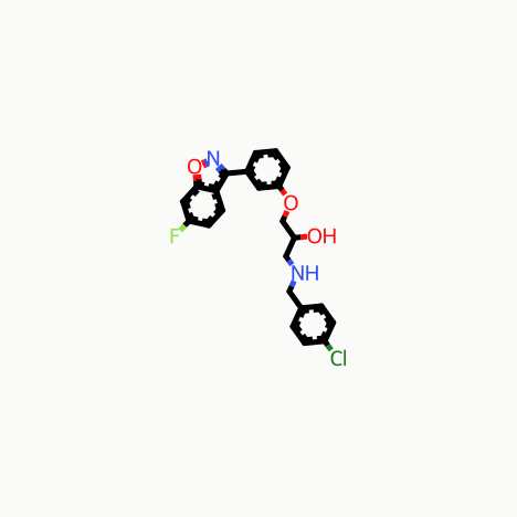 OC(CNCc1ccc(Cl)cc1)COc1cccc(-c2noc3cc(F)ccc23)c1